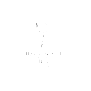 CCOC(=O)c1c(C#Cc2ccccc2)c(C)nn1C